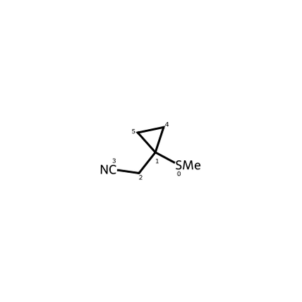 CSC1(CC#N)CC1